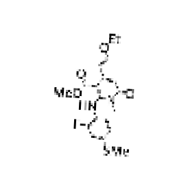 CCO/C=C/c1cc(=O)n(C)c(Nc2ccc(SC)cc2F)c1C(=O)OC